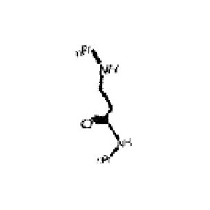 CCCNCCC(=O)NCCC